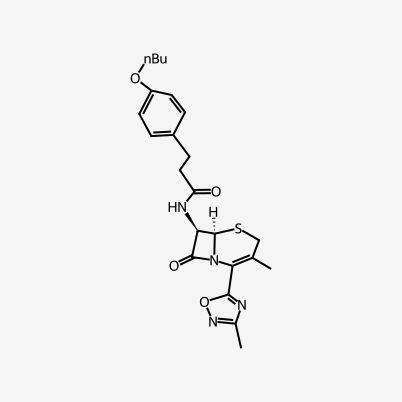 CCCCOc1ccc(CCC(=O)N[C@@H]2C(=O)N3C(c4nc(C)no4)=C(C)CS[C@H]23)cc1